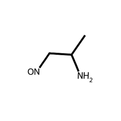 CC(N)CN=O